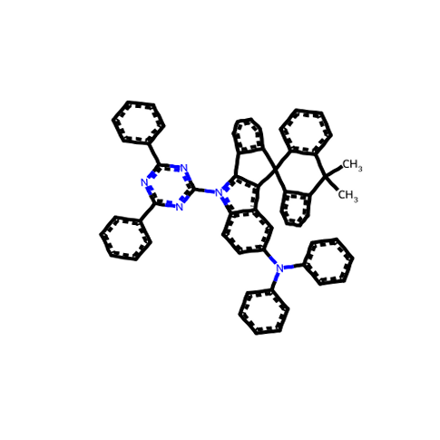 CC1(C)c2ccccc2C2(c3ccccc3-c3c2c2cc(N(c4ccccc4)c4ccccc4)ccc2n3-c2nc(-c3ccccc3)nc(-c3ccccc3)n2)c2ccccc21